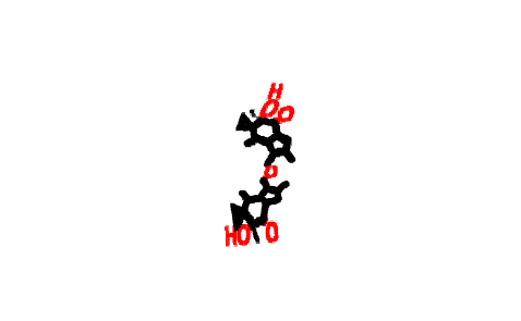 CC1=C(COCC2=C(C)C=C3C(=O)[C@](C)(O)C4(CC4)C(C)=C32)C2=C(C)C3(CC3)[C@@](C)(O)C(=O)C2=C1